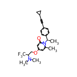 Cc1cc(OCC(N(C)C)C(F)(F)F)cc(=O)n1[C@H](C)c1ccc(C#CC2CC2)cc1